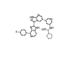 OC(Nc1cncc(-c2cnc3[nH]nc(-c4nc5c(-c6ccc(F)cc6)nccc5[nH]4)c3c2)c1)C1CCCC1